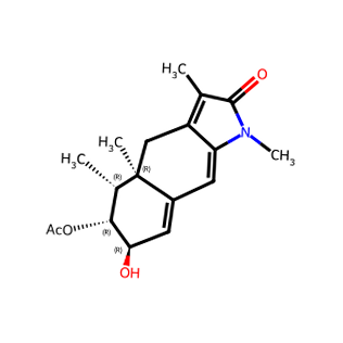 CC(=O)O[C@H]1[C@H](O)C=C2C=C3C(=C(C)C(=O)N3C)C[C@]2(C)[C@H]1C